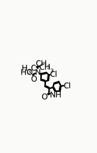 CC(C)(C)N(C(=O)O)c1cc(Cl)cc(/C=C2/C(=O)Nc3cc(Cl)ccc32)c1